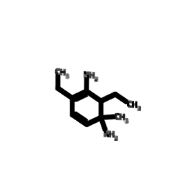 CCC1=C(N)C(CC)C(C)(N)C=C1